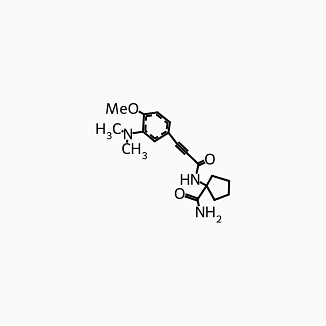 COc1ccc(C#CC(=O)NC2(C(N)=O)CCCC2)cc1N(C)C